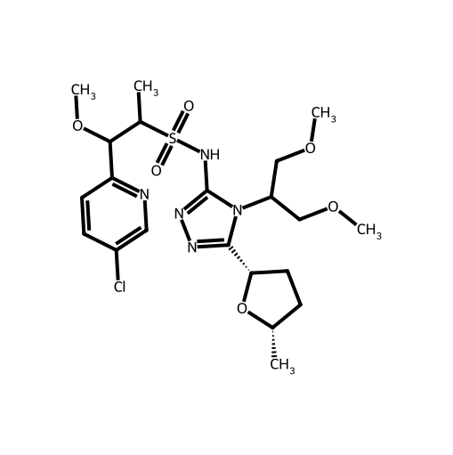 COCC(COC)n1c(NS(=O)(=O)C(C)C(OC)c2ccc(Cl)cn2)nnc1[C@@H]1CC[C@H](C)O1